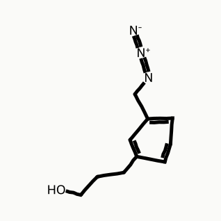 [N-]=[N+]=NCc1cccc(CCCO)c1